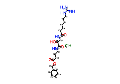 Cl.N=C(N)NCCCCCCC(=O)NCC(O)C(=O)NCCCC(=O)OCc1ccccc1